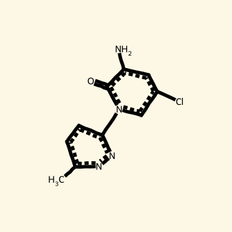 Cc1ccc(-n2cc(Cl)cc(N)c2=O)nn1